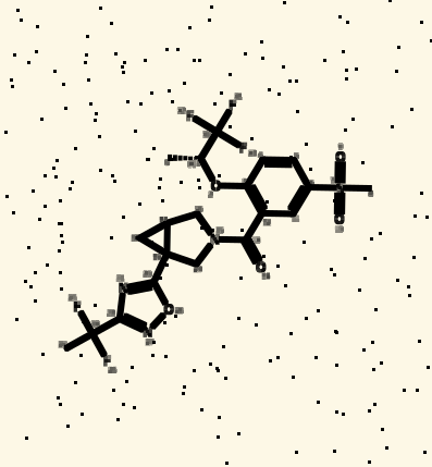 C[C@@H](Oc1ccc(S(C)(=O)=O)cc1C(=O)N1CC2CC2(c2nc(C(C)(F)F)no2)C1)C(F)(F)F